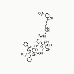 CC(CCC(=O)NCCc1cn(CCCc2c[nH]c3ccc([N+](=O)[O-])cc23)nn1)C(CO[C@@H]1OC(CO)[C@H](O)C(O[C@@H](CC2CCCCC2)C(=O)O)C1OC(=O)c1ccccc1)O[C@@H]1OC(C)[C@@H](O)C(O)C1O